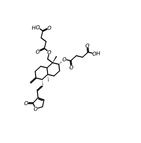 C=C1CCC2[C@](C)(COC(=O)CCC(=O)O)[C@H](OC(=O)CCC(=O)O)CC[C@@]2(C)[C@@H]1/C=C/C1=CCOC1=O